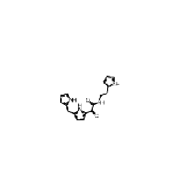 O=C(NCCc1ccc[nH]1)C(=O)c1ccc(Cc2ccc[nH]2)[nH]1